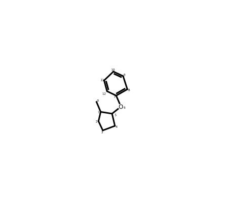 CC1CCCC1Oc1ccccc1